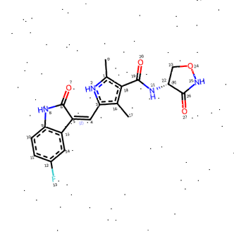 Cc1[nH]c(/C=C2\C(=O)Nc3ccc(F)cc32)c(C)c1C(=O)N[C@@H]1CONC1=O